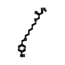 C=CC(=O)COCCCCCCOCc1ccc(O)cc1